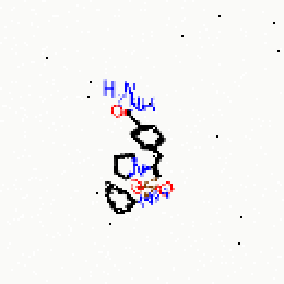 NNC(=O)c1ccc(CC(CS(=O)(=O)Nc2ccccc2)N2CCCC2)cc1